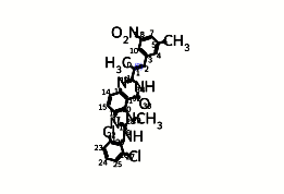 C/C(=C\c1cc(C)cc([N+](=O)[O-])c1)c1nc2ccc3nc(Nc4c(Cl)cccc4Cl)n(C)c3c2c(=O)[nH]1